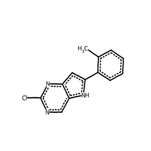 Cc1ccccc1-c1cc2nc(Cl)ncc2[nH]1